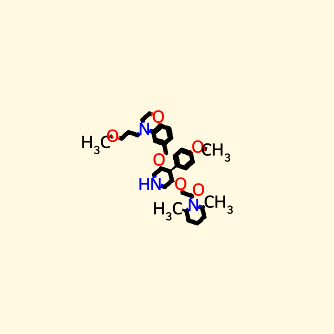 COCCCN1CCOc2ccc(CO[C@H]3CNC[C@@H](OCC(=O)N4[C@H](C)CCC[C@@H]4C)[C@@H]3c3ccc(OC)cc3)cc21